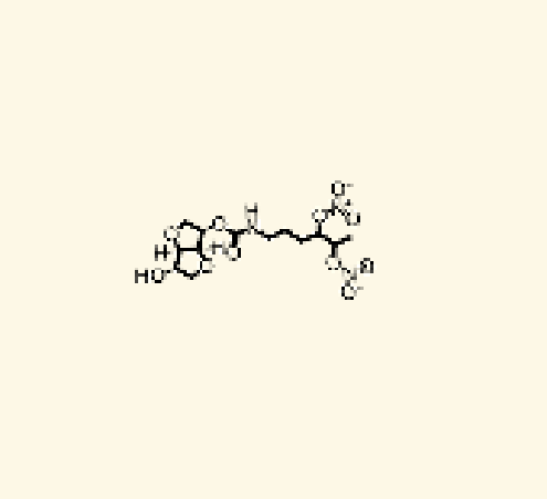 CC(O[N+](=O)[O-])C(CCCNC(=O)O[C@@H]1CO[C@H]2[C@@H]1OC[C@H]2O)O[N+](=O)[O-]